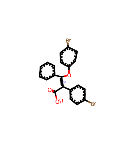 O=C(O)/C(=C(/Oc1ccc(Br)cc1)c1ccccc1)c1ccc(Br)cc1